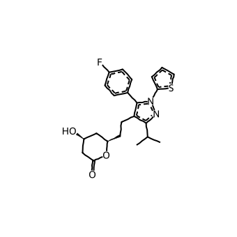 CC(C)c1nn(-c2cccs2)c(-c2ccc(F)cc2)c1CC[C@@H]1C[C@H](O)CC(=O)O1